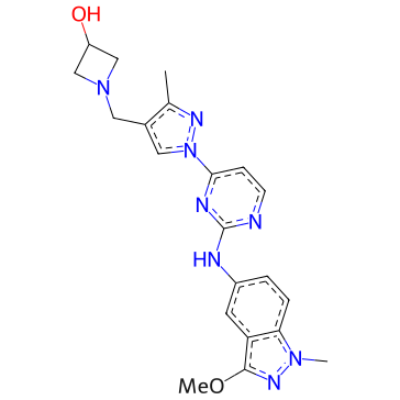 COc1nn(C)c2ccc(Nc3nccc(-n4cc(CN5CC(O)C5)c(C)n4)n3)cc12